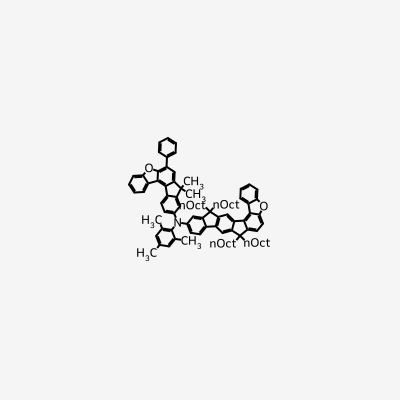 CCCCCCCCC1(CCCCCCCC)c2cc(N(c3ccc4c(c3)C(C)(C)c3cc(-c5ccccc5)c5oc6ccccc6c5c3-4)c3c(C)cc(C)cc3C)ccc2-c2cc3c(cc21)-c1c(ccc2oc4ccccc4c12)C3(CCCCCCCC)CCCCCCCC